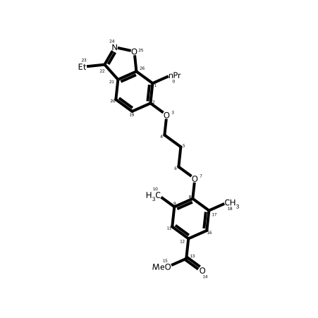 CCCc1c(OCCCOc2c(C)cc(C(=O)OC)cc2C)ccc2c(CC)noc12